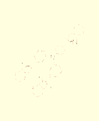 c1cc(-c2nc3ccccc3o2)cc(N(c2ccc(-c3nc4ccccc4o3)cc2)c2cccc(-c3nc4ccccc4s3)c2)c1